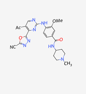 COc1cc(C(=O)NC2CCN(C)CC2)ccc1Nc1ncc(C(C)=O)c(-c2nnc(C#N)o2)n1